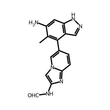 Cc1c(N)cc2[nH]ncc2c1-c1ccc2nc(NC=O)cn2c1